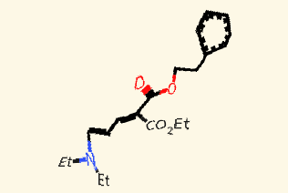 CCOC(=O)/C(=C\C=C\N(CC)CC)C(=O)OCCc1ccccc1